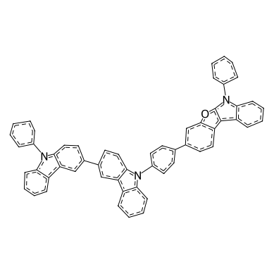 c1ccc(-n2c3ccccc3c3cc(-c4ccc5c(c4)c4ccccc4n5-c4ccc(-c5ccc6c(c5)oc5c6c6ccccc6n5-c5ccccc5)cc4)ccc32)cc1